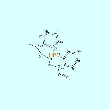 C=CCCCCCC.c1ccc(Pc2ccccc2)cc1